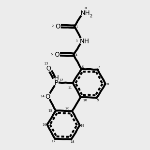 NC(=O)NC(=O)c1cccc2c1[PH](=O)Oc1ccccc1-2